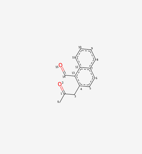 CC(=O)Cc1ccc2ccccc2c1C=O